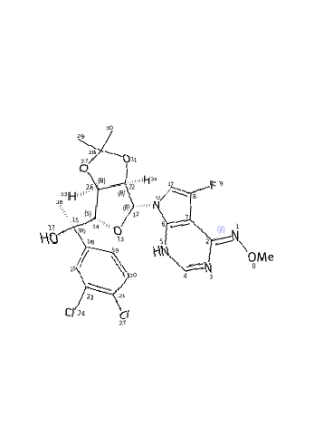 CO/N=c1\nc[nH]c2c1c(F)cn2[C@@H]1O[C@H]([C@](C)(O)c2ccc(Cl)c(Cl)c2)[C@H]2OC(C)(C)O[C@H]21